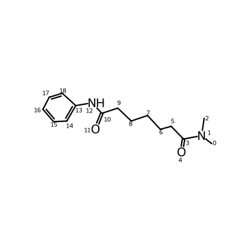 CN(C)C(=O)CCCCCC(=O)Nc1ccccc1